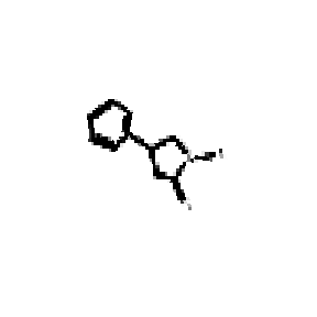 CC(C)N1CC(c2ccccc2)CC1=O